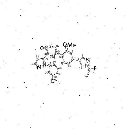 COc1cc(-c2cnn(C(F)F)c2)ccc1-n1ccc(=O)c(-c2ccnn2-c2cccc(C(F)(F)F)c2)n1